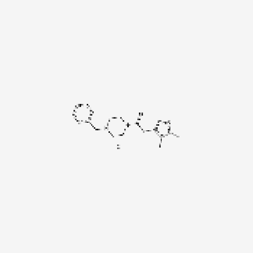 Cc1sc[n+](CC(=O)N2CCN(Cc3ccccc3)CC2)c1C.[Cl-]